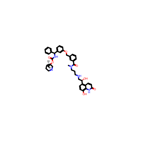 CN(CCCNC[C@@H](O)c1ccc(O)c2[nH]c(=O)ccc12)C(=O)c1cccc(COc2cccc(C(NC(=O)O[C@H]3CN4CCC3CC4)c3ccccc3)c2)c1